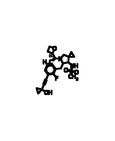 C=C([C@H]1CCO1)N1CC2(CC2)C(NS(C)(=O)=O)C1Cc1cccc(C#CC2(O)CC2)c1F